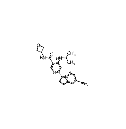 CC(C)Nc1cc(-c2ccc3cc(C#N)cnn23)ncc1C(=O)NC1COC1